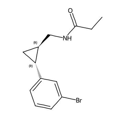 CCC(=O)NC[C@@H]1C[C@H]1c1cccc(Br)c1